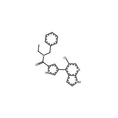 CCN(Cc1ccccc1)C(=O)c1cc(-c2c(Cl)cnc3[nH]ccc23)c[nH]1